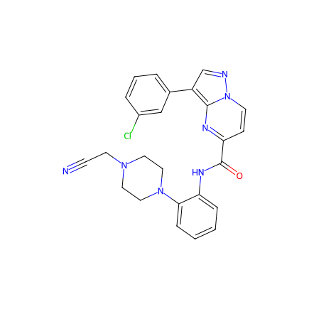 N#CCN1CCN(c2ccccc2NC(=O)c2ccn3ncc(-c4cccc(Cl)c4)c3n2)CC1